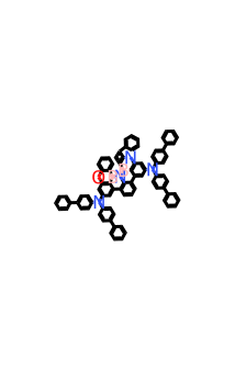 c1ccc(-c2ccc(N(c3ccc(-c4ccccc4)cc3)c3cc4c5c(c3)-c3cccc6c3N(B5c3ccccc3O4)B3c4c-6cc(N(c5ccc(-c6ccccc6)cc5)c5ccc(-c6ccccc6)cc5)cc4-n4c5ccccc5c5cccc3c54)cc2)cc1